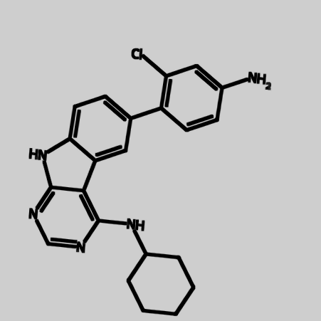 Nc1ccc(-c2ccc3[nH]c4ncnc(NC5CCCCC5)c4c3c2)c(Cl)c1